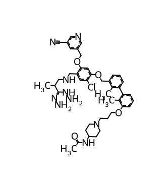 CC(=O)NC1CCN(CCCOc2cccc(-c3cccc(COc4cc(OCc5cncc(C#N)c5)c(CNCC(C)/C(=N/N)NN)cc4Cl)c3C)c2C)CC1